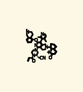 C=CC(=O)N1CCN(c2nc(Oc3cccc4c3CCN(C)C4)c(-c3c(C)ccnc3C)c3c2CCN(c2cccc4ccc(=O)n(C)c24)C3)C[C@@H]1CC#N